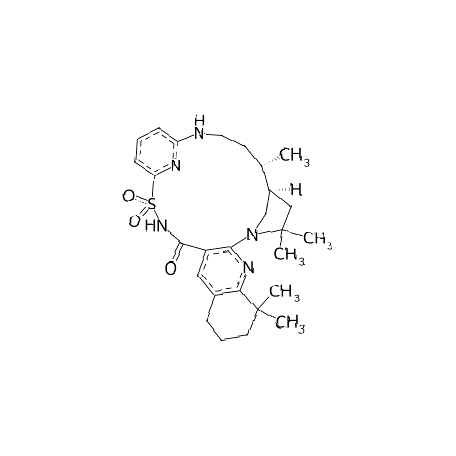 C[C@H]1CCNc2cccc(n2)S(=O)(=O)NC(=O)c2cc3c(nc2N2C[C@@H]1CC2(C)C)C(C)(C)CCC3